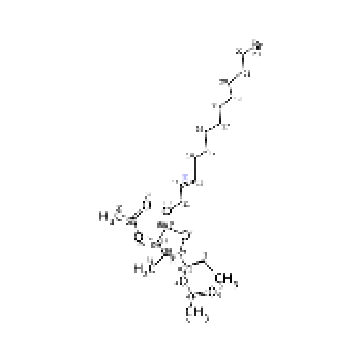 CC[C@@H](OC(C)=O)[C@@H]1O[C@@H](OC/C=C/CCCCCCCCCBr)[C@@H](OC(C)=O)C1C